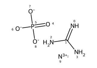 N=C(N)N.O=P([O-])([O-])[O-].[N+3]